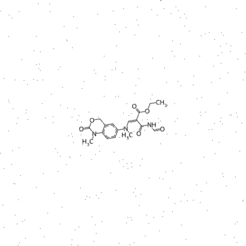 CCOC(=O)/C(=C/N(C)c1ccc2c(c1)COC(=O)N2C)C(=O)NC=O